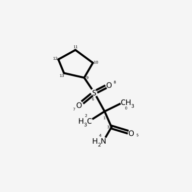 CC(C)(C(N)=O)S(=O)(=O)C1CCCC1